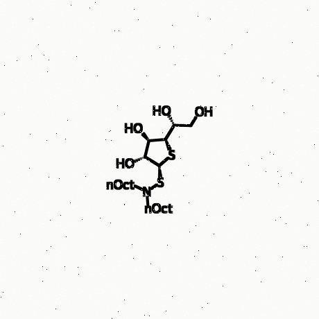 CCCCCCCCN(CCCCCCCC)S[C@@H]1S[C@H]([C@H](O)CO)[C@H](O)[C@H]1O